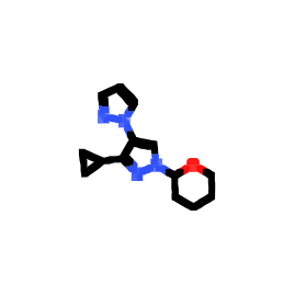 c1cnn(-c2cn(C3CCCCO3)nc2C2CC2)c1